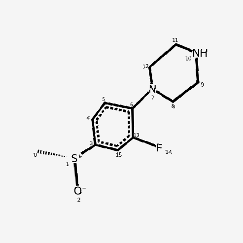 C[S@@+]([O-])c1ccc(N2CCNCC2)c(F)c1